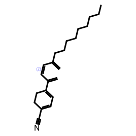 C=C(/C=C\C(=C)C1=CC=C(C#N)CC1)CCCCCCCCC